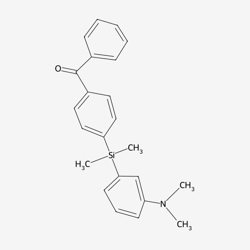 CN(C)c1cccc([Si](C)(C)c2ccc(C(=O)c3ccccc3)cc2)c1